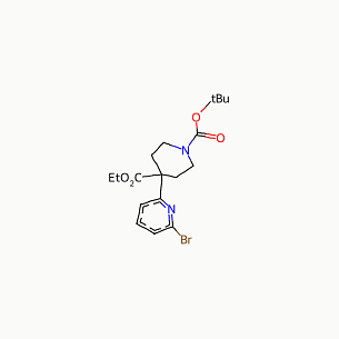 CCOC(=O)C1(c2cccc(Br)n2)CCN(C(=O)OC(C)(C)C)CC1